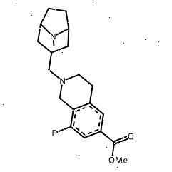 COC(=O)c1cc(F)c2c(c1)CCN(CC1CC3CCC(C1)N3C)C2